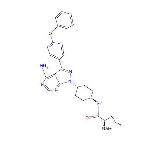 CN[C@H](CC(C)C)C(=O)N[C@H]1CC[C@H](n2nc(-c3ccc(Oc4ccccc4)cc3)c3c(N)ncnc32)CC1